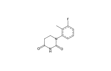 Cc1c(F)cccc1N1CCC(=O)NC1=O